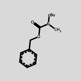 CCCCN(C)C(=O)OCc1ccccc1